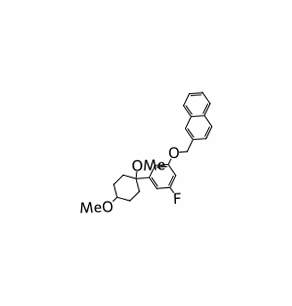 COC1CCC(OC)(c2cc(F)cc(OCc3ccc4ccccc4c3)c2)CC1